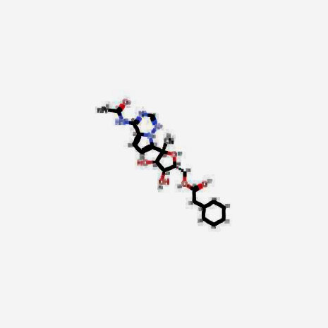 CCCC(=O)Nc1ncnn2c([C@]3(C#N)O[C@H](COC(=O)CC4CCCCC4)[C@@H](O)[C@H]3O)ccc12